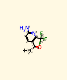 [CH2]C(=O)c1ccc(N)nc1C(F)(F)F